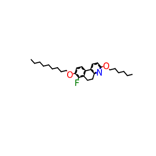 CCCCCCCCCOc1ccc2c(c1F)CCc1nc(OCCCCCC)ccc1-2